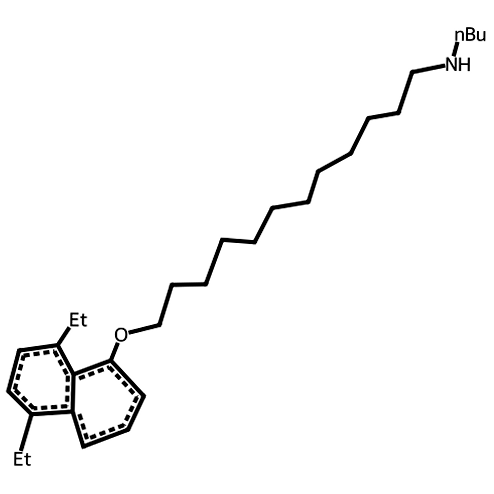 CCCCNCCCCCCCCCCCCOc1cccc2c(CC)ccc(CC)c12